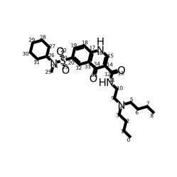 CCCCN(CCCC)CCNC(=O)c1c[nH]c2ccc(S(=O)(=O)N(C)C3CCCCC3)cc2c1=O